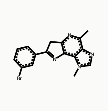 Cc1nc2c(c3c1ncn3C)N=C(c1cccc(Br)c1)C2